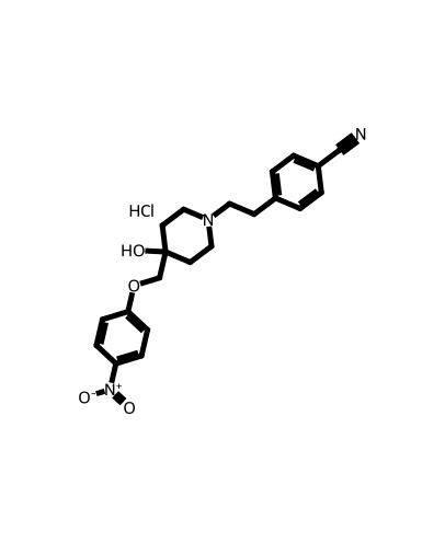 Cl.N#Cc1ccc(CCN2CCC(O)(COc3ccc([N+](=O)[O-])cc3)CC2)cc1